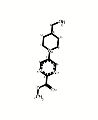 COC(=O)c1ncc(N2CCC(CO)CC2)cn1